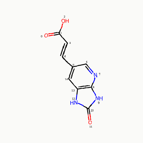 O=C(O)/C=C/c1cnc2[nH]c(=O)[nH]c2c1